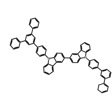 C1=CCCC(c2cccc(-c3ccc(-n4c5ccccc5c5cc(-c6ccc7c(c6)c6ccccc6n7-c6ccc(-c7cc(-c8ccccc8)cc(-c8ccccc8)c7)cc6)ccc54)cc3)c2)=C1